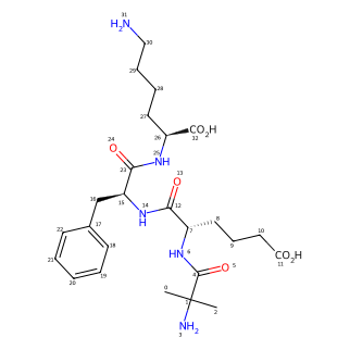 CC(C)(N)C(=O)N[C@@H](CCCC(=O)O)C(=O)N[C@@H](Cc1ccccc1)C(=O)N[C@@H](CCCCN)C(=O)O